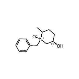 CC1CC[C@@H](O)C[N+]1([O-])Cc1ccccc1